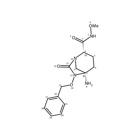 CONC(=O)[C@@H]1CC[C@]2(N)CN1C(=O)N2OCc1ccccc1